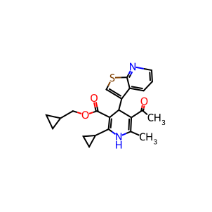 CC(=O)C1=C(C)NC(C2CC2)=C(C(=O)OCC2CC2)C1c1csc2ncccc12